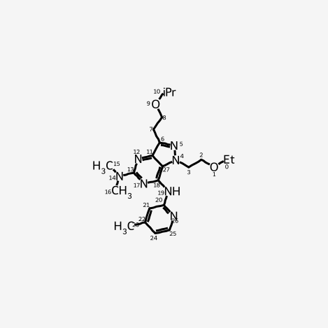 CCOCCn1nc(CCOC(C)C)c2nc(N(C)C)nc(Nc3cc(C)ccn3)c21